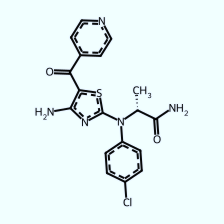 C[C@H](C(N)=O)N(c1ccc(Cl)cc1)c1nc(N)c(C(=O)c2ccncc2)s1